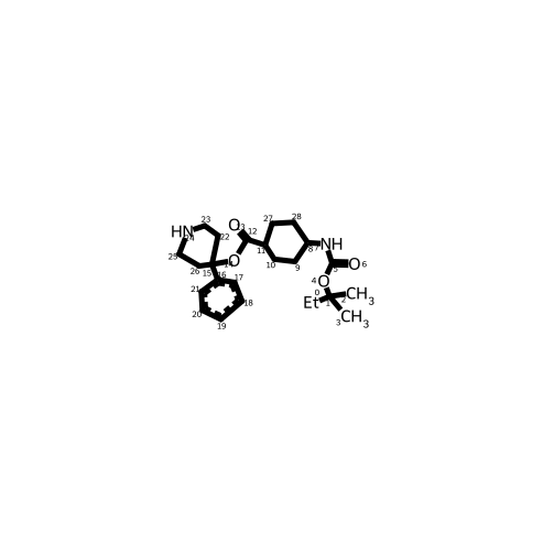 CCC(C)(C)OC(=O)NC1CCC(C(=O)OC2(c3ccccc3)CCNCC2)CC1